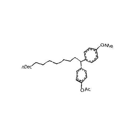 CCCCCCCCCCCCCCCCCC(c1ccc(OC)cc1)c1ccc(OC(C)=O)cc1